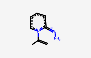 C=C(C)n1cccc/c1=N/N